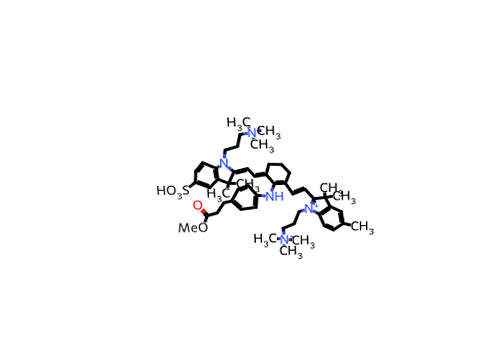 COC(=O)CCc1ccc(NC2=C(/C=C/C3=[N+](CCC[N+](C)(C)C)c4ccc(C)cc4C3(C)C)CCC/C2=C\C=C2\N(CCC[N+](C)(C)C)c3ccc(S(=O)(=O)O)cc3C2(C)C)cc1